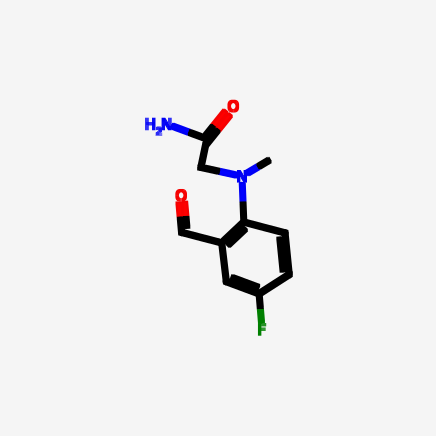 CN(CC(N)=O)c1ccc(F)cc1C=O